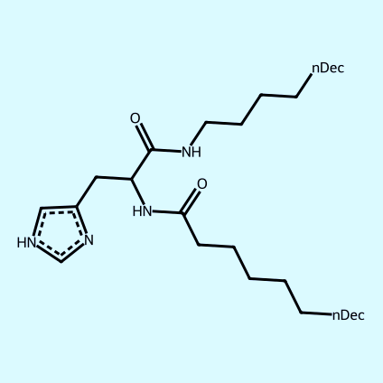 CCCCCCCCCCCCCCCC(=O)NC(Cc1c[nH]cn1)C(=O)NCCCCCCCCCCCCCC